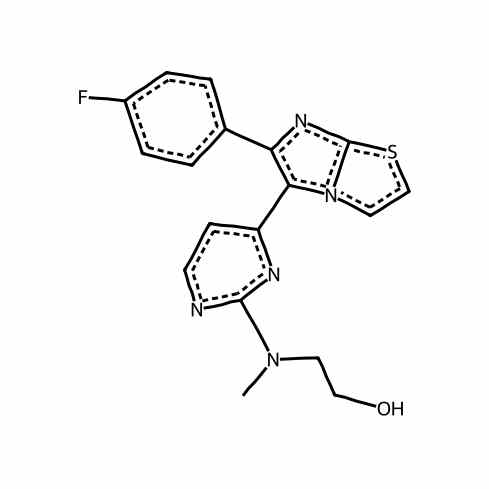 CN(CCO)c1nccc(-c2c(-c3ccc(F)cc3)nc3sccn23)n1